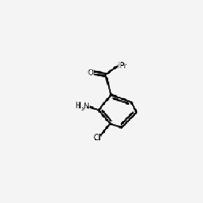 CC(C)C(=O)c1cccc(Cl)c1N